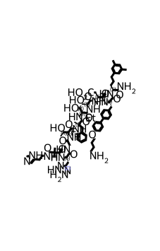 CCc1cc(OCCCCN)ccc1-c1ccc(C[C@H](NC(=O)[C@H](CC(=O)O)NC(=O)[C@H](CO)NC(=O)[C@@H](NC(=O)[C@](C)(Cc2ccccc2F)NC(=O)[C@@H](NC(=O)CNC(=O)[C@H](C/C(N=N)=N/N)NC(=O)C(C)(C)C(=O)NCCc2cnc[nH]2)[C@@H](C)O)[C@@H](C)O)C(=O)N[C@@H](CCCc2cc(C)cc(C)c2)C(N)=O)cc1